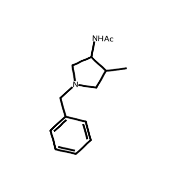 CC(=O)NC1CN(Cc2ccccc2)CC1C